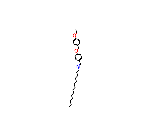 CCCCCCCCCCCCCCN=Cc1ccc(OCc2ccc(OCC)cc2)cc1